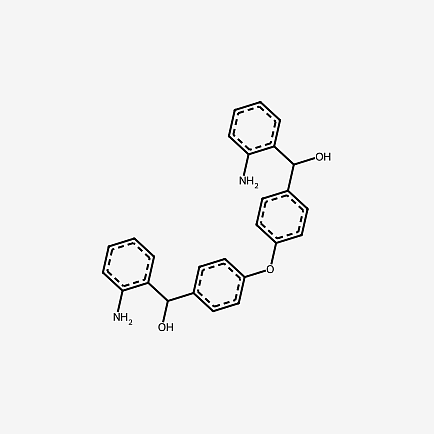 Nc1ccccc1C(O)c1ccc(Oc2ccc(C(O)c3ccccc3N)cc2)cc1